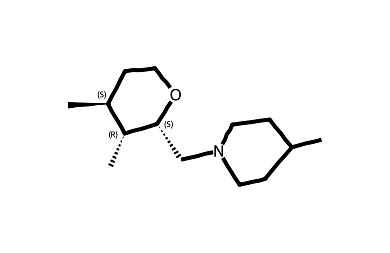 CC1CCN(C[C@H]2OCC[C@H](C)[C@H]2C)CC1